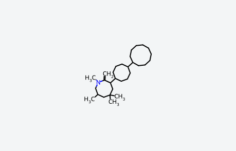 C=C1C(C2CCCC(C3CCCCCCCCC3)CCC2)CC(C)(C)CC(C)CN1C